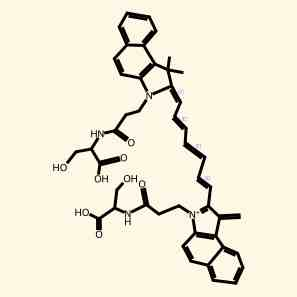 C=C1C(/C=C/C=C/C=C/C=C2\N(CCC(=O)NC(CO)C(=O)O)c3ccc4ccccc4c3C2(C)C)=[N+](CCC(=O)NC(CO)C(=O)O)c2ccc3ccccc3c21